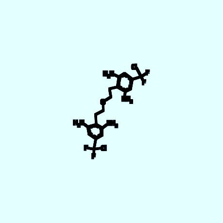 Nc1cc(C(F)(F)Cl)cc(N)c1CCOCCc1c(N)cc(C(F)(F)Cl)cc1N